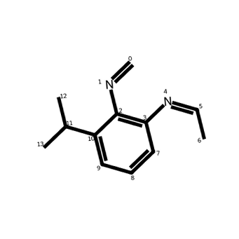 C=Nc1c(/N=C\C)cccc1C(C)C